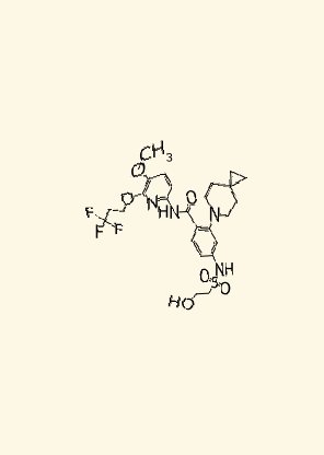 COc1ccc(NC(=O)c2ccc(NS(=O)(=O)CCO)cc2N2CCC3(CC2)CC3)nc1OCCC(F)(F)F